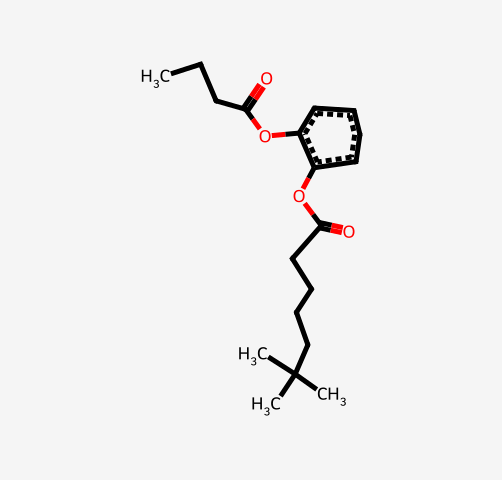 CCCC(=O)Oc1ccccc1OC(=O)CCCCC(C)(C)C